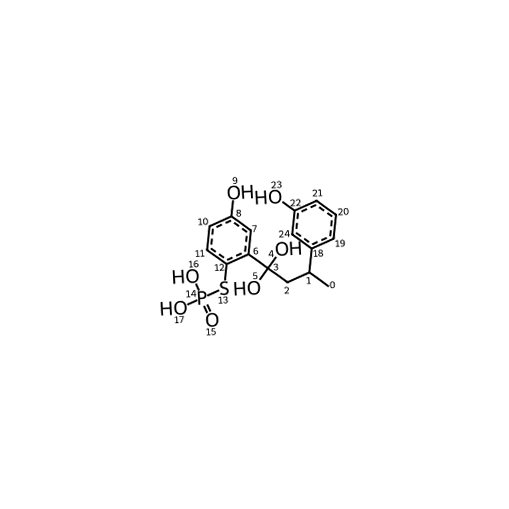 CC(CC(O)(O)c1cc(O)ccc1SP(=O)(O)O)c1cccc(O)c1